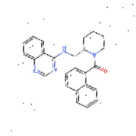 O=C(c1cccc2ccccc12)N1CCCC[C@H]1CNc1ncnc2ccccc12